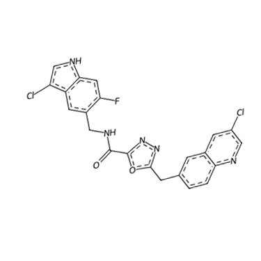 O=C(NCc1cc2c(Cl)c[nH]c2cc1F)c1nnc(Cc2ccc3ncc(Cl)cc3c2)o1